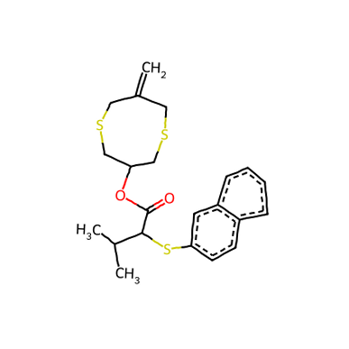 C=C1CSCC(OC(=O)C(Sc2ccc3ccccc3c2)C(C)C)CSC1